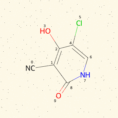 N#Cc1c(O)c(Cl)c[nH]c1=O